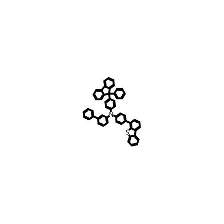 c1ccc(-c2cccc(N(c3ccc(-c4cccc5c4sc4ccccc45)cc3)c3ccc(C4(c5ccccc5)c5ccccc5-c5ccccc54)cc3)c2)cc1